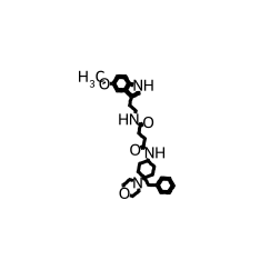 COc1ccc2[nH]cc(CCNC(=O)CCC(=O)NC3CCC(Cc4ccccc4)(N4CCOCC4)CC3)c2c1